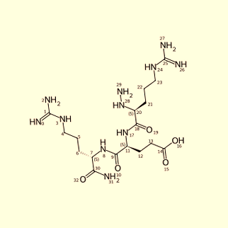 N=C(N)NCCC[C@H](NC(=O)[C@H](CCC(=O)O)NC(=O)[C@H](CCCNC(=N)N)NN)C(N)=O